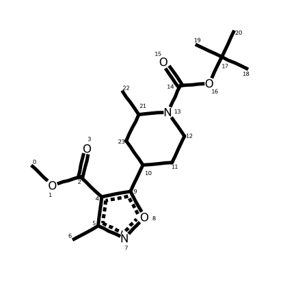 COC(=O)c1c(C)noc1C1CCN(C(=O)OC(C)(C)C)C(C)C1